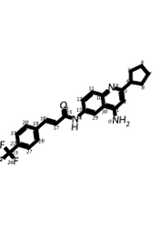 Nc1cc(C2CCCC2)nc2ccc(NC(=O)C=Cc3ccc(C(F)(F)F)cc3)cc12